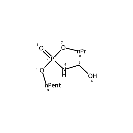 CCCCCOP(=O)(NCO)OCCC